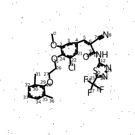 COc1cc(C=C(C#N)C(=O)Nc2nnc(C(F)(F)F)s2)cc(Cl)c1OCCOc1c(C)cccc1C